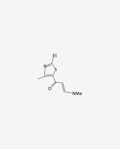 CCc1nc(C)c(C(=O)/C=C/NC)s1